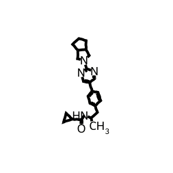 CC(Cc1ccc(-c2cnc(N3CC4CCCC4C3)nc2)cc1)NC(=O)C1CC1